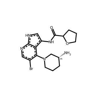 N[C@@H]1CCCN(c2c(Br)cnc3[nH]cc(NC(=O)C4CCCO4)c23)C1